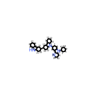 c1ccc(-n2c3ccc(-n4c5ccccc5c5cc(-c6ccc7[nH]c8ccccc8c7c6)ccc54)cc3c3ncccc32)cc1